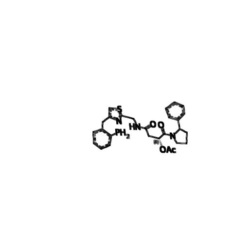 CC(=O)O[C@H](CC(=O)NCc1nc(Cc2ccccc2P)cs1)C(=O)N1CCCC1c1ccccc1